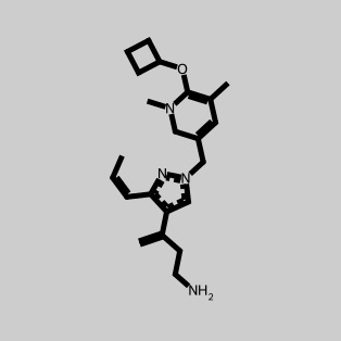 C=C(CCN)c1cn(CC2=CC(C)=C(OC3CCC3)N(C)C2)nc1/C=C\C